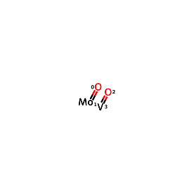 [O]=[Mo].[O]=[V]